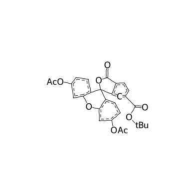 CC(=O)Oc1ccc2c(c1)Oc1cc(OC(C)=O)ccc1C21OC(=O)c2ccc(C(=O)OC(C)(C)C)cc21